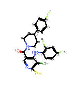 O=C(c1cnc(S)c(Cl)c1Nc1ccc(F)cc1F)N1CCC(c2ccc(F)cc2)CC1